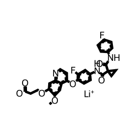 COc1cc2c(Oc3ccc(NC(=O)C4(C(=O)Nc5ccc(F)cc5)CC4)cc3F)ccnc2cc1OCCC(=O)[O-].[Li+]